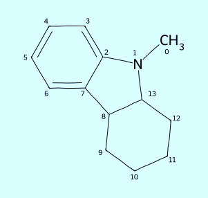 CN1c2ccccc2C2CCCCC21